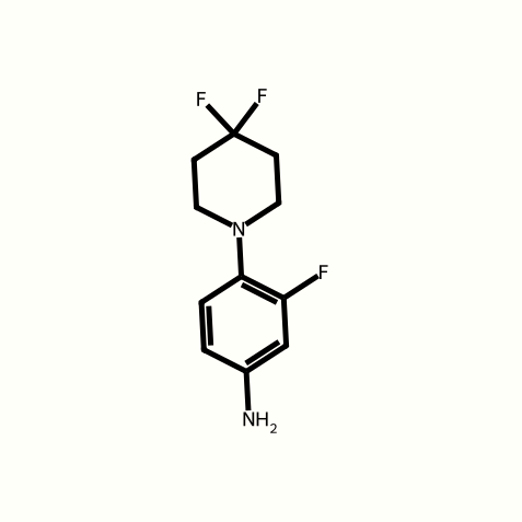 Nc1ccc(N2CCC(F)(F)CC2)c(F)c1